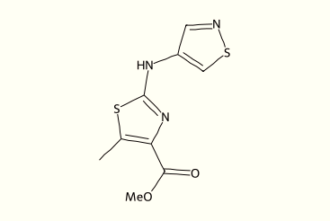 COC(=O)c1nc(Nc2cnsc2)sc1C